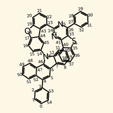 c1ccc(-c2cc3c4ccccc4n(-c4ccc5oc6cccc(-c7nc(-c8ccccc8)c8sc9ccccc9c8n7)c6c5c4)c3c3ccccc23)cc1